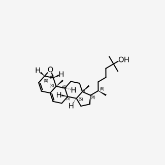 C[C@H](CCCC(C)(C)O)[C@H]1CC[C@H]2[C@@H]3CC=C4C=C[C@@H]5O[C@@H]5[C@]4(C)[C@H]3CC[C@]12C